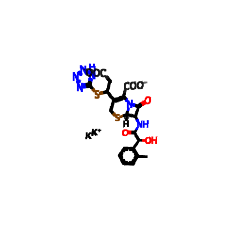 Cc1ccccc1C(O)C(=O)NC1C(=O)N2C(C(=O)[O-])=C(C(CC(=O)[O-])Sc3nnn[nH]3)CS[C@@H]12.[K+].[K+]